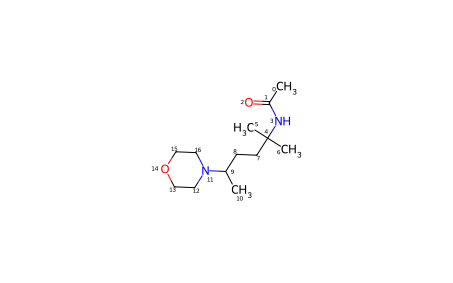 CC(=O)NC(C)(C)CCC(C)N1CCOCC1